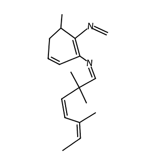 C=NC1=C(/N=C\C(C)(C)/C=C\C(C)=C/C)C=CCC1C